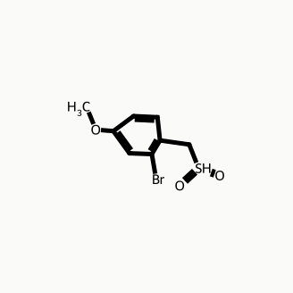 COc1ccc(C[SH](=O)=O)c(Br)c1